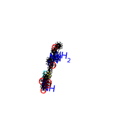 Nc1ncnc2c1c(-c1ccc(Oc3ccccc3)cc1)nn2[C@@H]1CCCN(C(=O)CCCCCSc2cc3c(cc2F)C(=O)N(C2CCC(=O)NC2=O)C3=O)C1